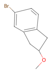 COC1Cc2ccc(Br)cc2C1